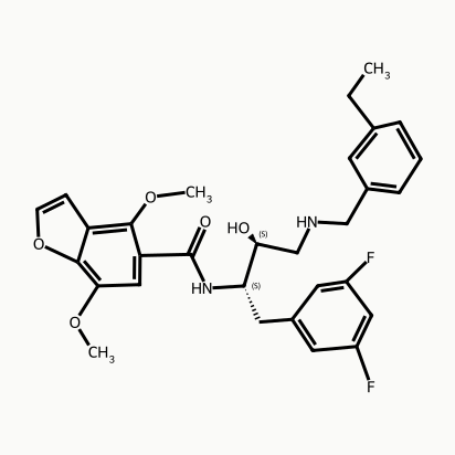 CCc1cccc(CNC[C@H](O)[C@H](Cc2cc(F)cc(F)c2)NC(=O)c2cc(OC)c3occc3c2OC)c1